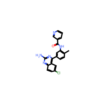 Cc1ccc(-c2nc(N)nc3ccc(Cl)cc23)cc1NC(=O)c1cccnc1